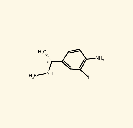 BN[C@H](C)c1ccc(N)c(I)c1